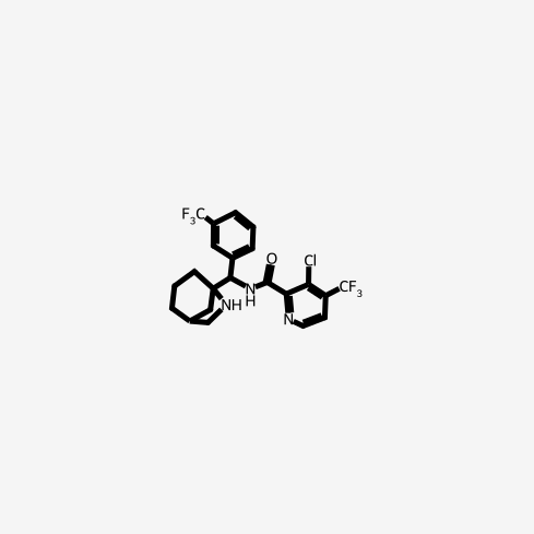 O=C(NC(c1cccc(C(F)(F)F)c1)C12CCCC(CN1)C2)c1nccc(C(F)(F)F)c1Cl